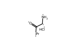 CC(C)C(=O)CN.Cl